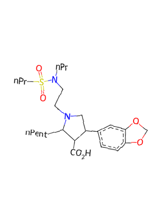 CCCCCC1C(C(=O)O)C(c2ccc3c(c2)OCO3)CN1CCN(CCC)S(=O)(=O)CCC